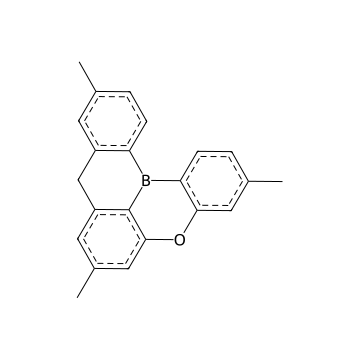 Cc1ccc2c(c1)Cc1cc(C)cc3c1B2c1ccc(C)cc1O3